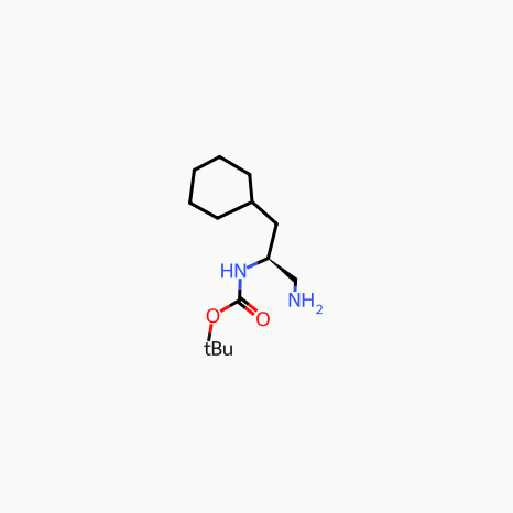 CC(C)(C)OC(=O)N[C@H](CN)CC1CCCCC1